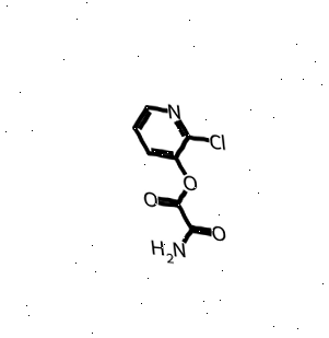 NC(=O)C(=O)Oc1cccnc1Cl